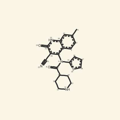 Cc1ccc2c(N(C(=O)C3CCNCC3)c3cccs3)c(C#N)c(=O)[nH]c2c1